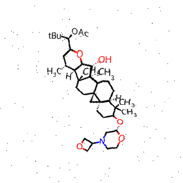 CC(=O)O[C@@H](C1C[C@@H](C)[C@H]2C(O1)[C@H](O)[C@@]1(C)C3CC[C@H]4C(C)(C)C(O[C@H]5CN(C6COC6)CCO5)CC[C@@]45C[C@@]35CC[C@]21C)C(C)(C)C